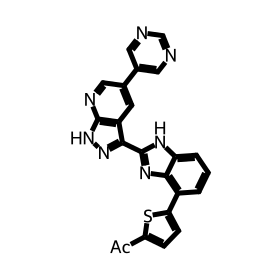 CC(=O)c1ccc(-c2cccc3[nH]c(-c4n[nH]c5ncc(-c6cncnc6)cc45)nc23)s1